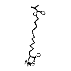 C=C(C)C(=O)OCCCCCCCCCCC1N=NSC1=O